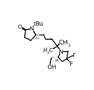 CC(C)(C)N1C(=O)CC[C@@H]1CCCC(C)(C)N1CC(F)(F)C[C@@H]1CO